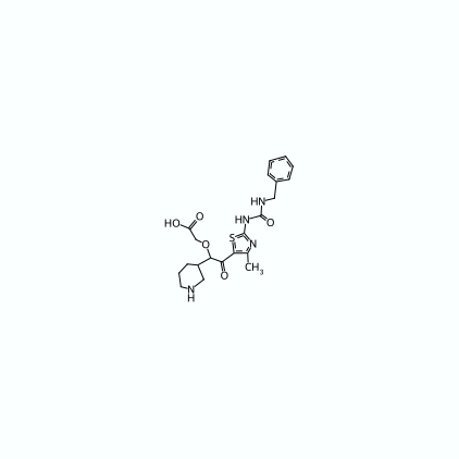 Cc1nc(NC(=O)NCc2ccccc2)sc1C(=O)C(OCC(=O)O)C1CCCNC1